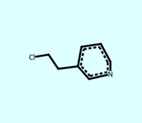 ClCCc1cccnc1